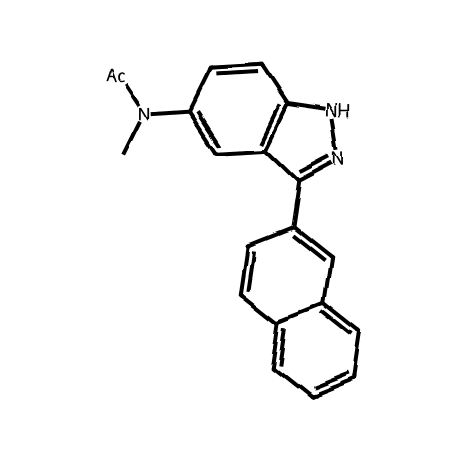 CC(=O)N(C)c1ccc2[nH]nc(-c3ccc4ccccc4c3)c2c1